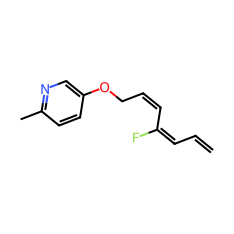 C=C/C=C(F)\C=C/COc1ccc(C)nc1